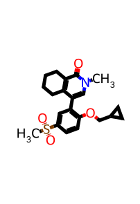 Cn1cc(-c2cc(S(C)(=O)=O)ccc2OCC2CC2)c2c(c1=O)CCCC2